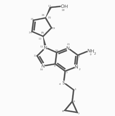 Nc1nc(SCC2CC2)c2ncn([C@H]3C=C[C@@H](CO)C3)c2n1